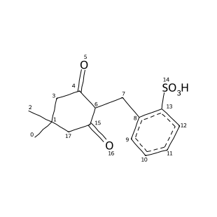 CC1(C)CC(=O)C(Cc2ccccc2S(=O)(=O)O)C(=O)C1